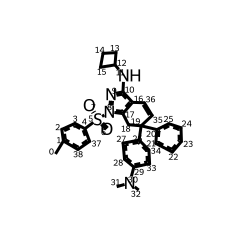 Cc1ccc(S(=O)(=O)n2nc(NC3CCC3)c3c2CC(c2ccccc2)(c2ccc(N(C)C)cc2)C=C3)cc1